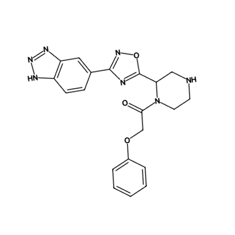 O=C(COc1ccccc1)N1CCNCC1c1nc(-c2ccc3[nH]nnc3c2)no1